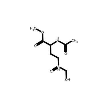 COC(=O)C(CC[PH](=O)CO)NC(C)=O